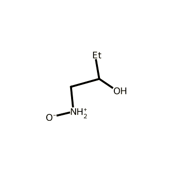 CCC(O)C[NH2+][O-]